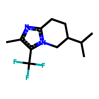 Cc1nc2n(c1C(F)(F)F)CC(C(C)C)CC2